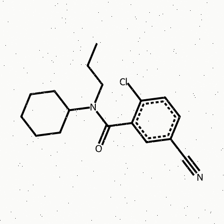 CCCN(C(=O)c1cc(C#N)ccc1Cl)C1CCCCC1